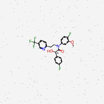 COc1cc(N(CCc2ccc(C(F)(F)F)cn2)C(=O)[C@H](O)c2ccc(F)cc2)ccc1F